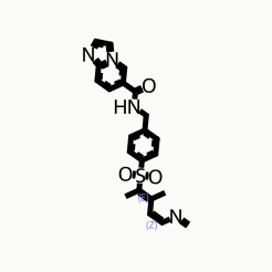 C=N/C=C\C(C)=C(/C)S(=O)(=O)c1ccc(CNC(=O)c2ccc3nccn3c2)cc1